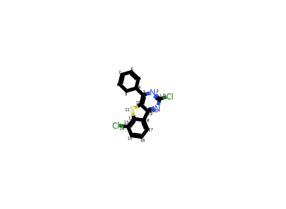 Clc1nc(C2C=CC=CC2)c2sc3c(Cl)cccc3c2n1